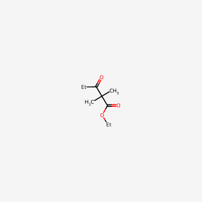 CCOC(=O)C(C)(C)C(=O)CC